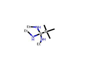 CCN[Si](NCC)(NCC)[Si](C)(C)C